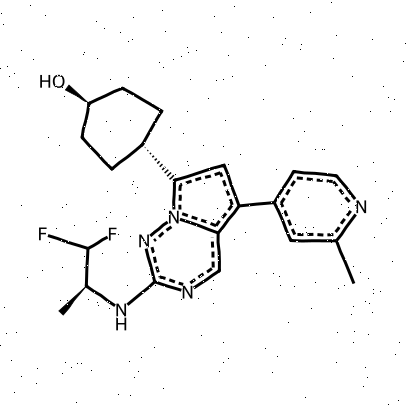 Cc1cc(-c2cc([C@H]3CC[C@H](O)CC3)n3nc(N[C@@H](C)C(F)F)ncc23)ccn1